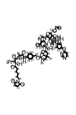 CC(C)[C@H](NC(=O)CCCCCN1C(=O)C=CC1=O)C(=O)N[C@@H](C)C(=O)Nc1ccc(COC(=O)N(C)CC(C)(C)CC(=O)Nc2nc3c(ncn3[C@@H]3O[C@H](COP=O)[C@@H](O)[C@H]3OP(=O)(S)OC[C@H]3C[C@@H](Oc4ccncn4)C[C@@H]3OS)c(=O)[nH]2)cc1